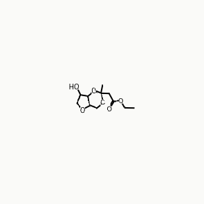 CCOC(=O)CC1(C)OCC2OCC(O)C2O1